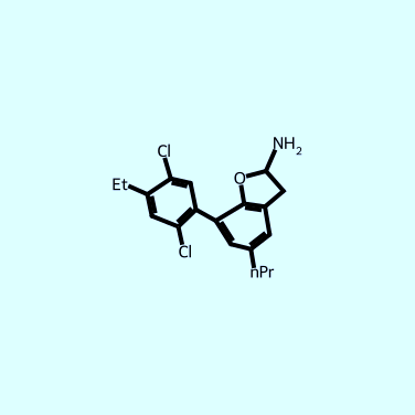 CCCc1cc2c(c(-c3cc(Cl)c(CC)cc3Cl)c1)OC(N)C2